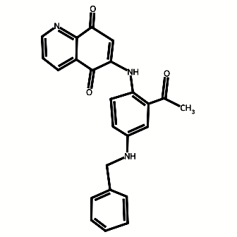 CC(=O)c1cc(NCc2ccccc2)ccc1NC1=CC(=O)c2ncccc2C1=O